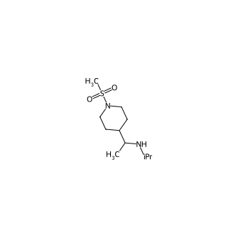 CC(C)NC(C)C1CCN(S(C)(=O)=O)CC1